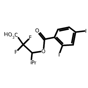 CC(C)C(OC(=O)c1ccc(I)cc1I)C(F)(F)C(=O)O